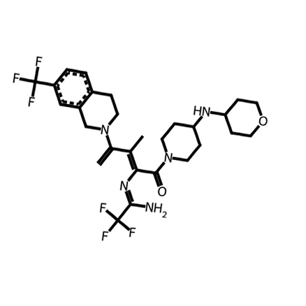 C=C(/C(C)=C(\N=C(/N)C(F)(F)F)C(=O)N1CCC(NC2CCOCC2)CC1)N1CCc2ccc(C(F)(F)F)cc2C1